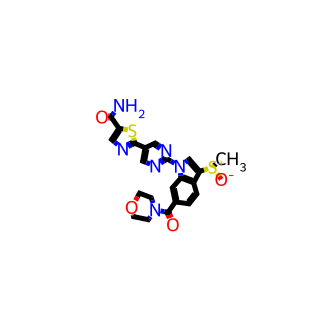 C[S+]([O-])c1cn(-c2ncc(-c3ncc(C(N)=O)s3)cn2)c2cc(C(=O)N3CCOCC3)ccc12